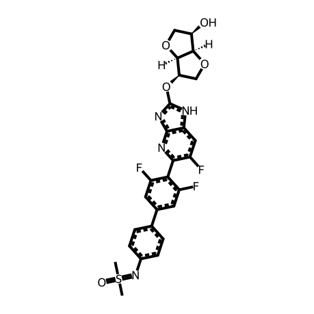 CS(C)(=O)=Nc1ccc(-c2cc(F)c(-c3nc4nc(O[C@@H]5CO[C@H]6[C@@H]5OC[C@H]6O)[nH]c4cc3F)c(F)c2)cc1